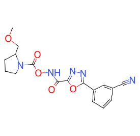 COCC1CCCN1C(=O)ONC(=O)c1nnc(-c2cccc(C#N)c2)o1